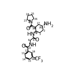 N[C@@H]1CC[C@@H](NC(=O)CNC(=O)c2cccc(C(F)(F)F)c2)[C@@H](C(=O)N2CCCC2)C1